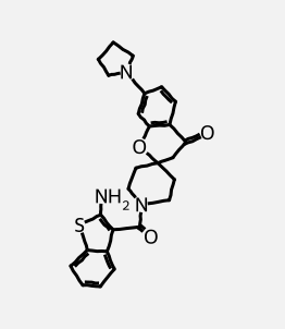 Nc1sc2ccccc2c1C(=O)N1CCC2(CC1)CC(=O)c1ccc(N3CCCC3)cc1O2